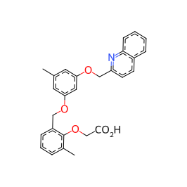 Cc1cc(OCc2ccc3ccccc3n2)cc(OCc2cccc(C)c2OCC(=O)O)c1